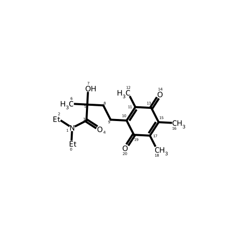 CCN(CC)C(=O)C(C)(O)CCC1=C(C)C(=O)C(C)=C(C)C1=O